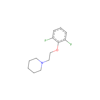 Fc1c[c]cc(F)c1OCCN1CCCCC1